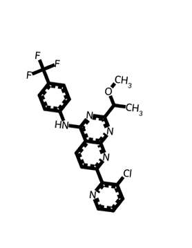 COC(C)c1nc(Nc2ccc(C(F)(F)F)cc2)c2ccc(-c3ncccc3Cl)nc2n1